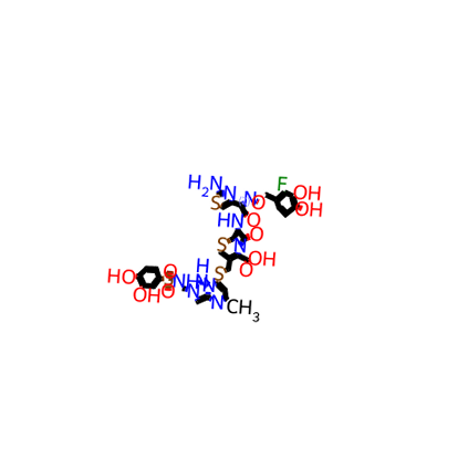 CC1=NC2=CN(CNS(=O)(=O)c3ccc(O)c(O)c3)NN2C(SCC2=C(C(=O)O)N3C(=O)C(NC(=O)/C(=N\OCc4ccc(O)c(O)c4F)c4csc(N)n4)C3SC2)=C1